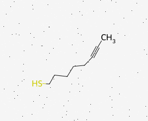 CC#CCCCCCS